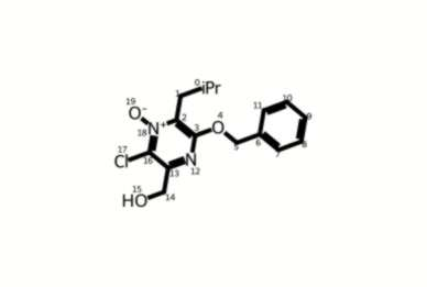 CC(C)Cc1c(OCc2ccccc2)nc(CO)c(Cl)[n+]1[O-]